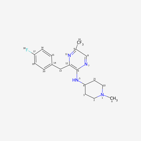 CN1CCC(Nc2ncc(C(F)(F)F)nc2Cc2ccc(F)cc2)CC1